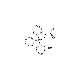 Br.O=C(O)CC[P](c1ccccc1)(c1ccccc1)c1ccccc1